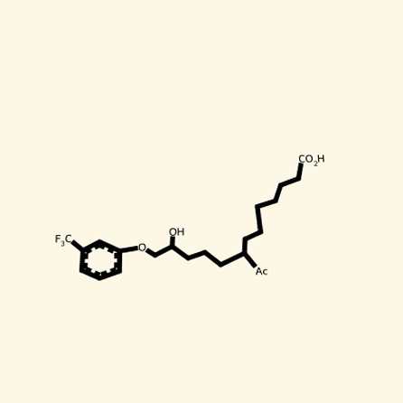 CC(=O)C(CCCCCCC(=O)O)CCCC(O)COc1cccc(C(F)(F)F)c1